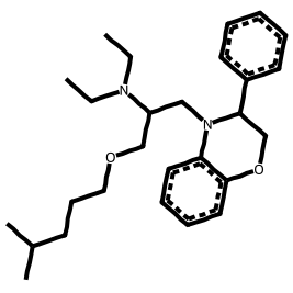 CCN(CC)C(COCCCC(C)C)CN1c2ccccc2OCC1c1ccccc1